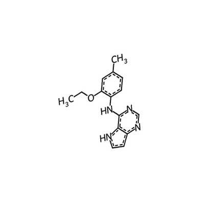 CCOc1cc(C)ccc1Nc1ncnc2cc[nH]c12